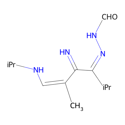 C/C(=C/NC(C)C)C(=N)/C(=N\NC=O)C(C)C